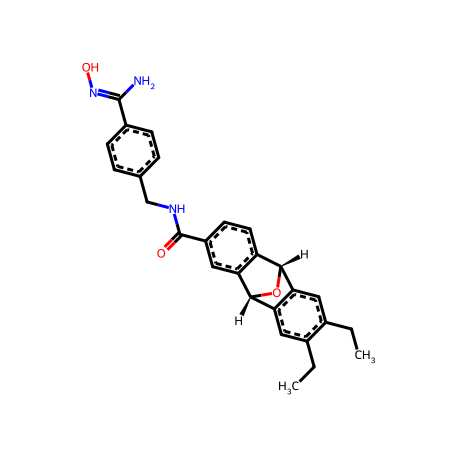 CCc1cc2c(cc1CC)[C@H]1O[C@@H]2c2ccc(C(=O)NCc3ccc(C(N)=NO)cc3)cc21